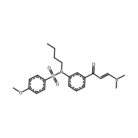 CCCCN(c1cccc(C(=O)/C=C/N(C)C)c1)S(=O)(=O)c1ccc(OC)cc1